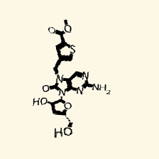 COC(=O)c1cc(Cn2c(=O)n([C@@H]3O[C@H](CO)C[C@H]3O)c3nc(N)ncc32)cs1